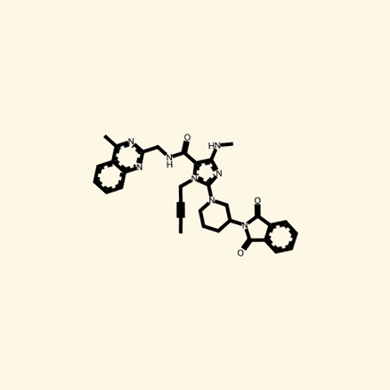 CC#CCn1c(N2CCCC(N3C(=O)c4ccccc4C3=O)C2)nc(NC)c1C(=O)NCc1nc(C)c2ccccc2n1